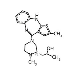 Cc1cc2c(s1)Nc1ccccc1N=C2N1CCN(C)[C@@H](CC(C)O)C1